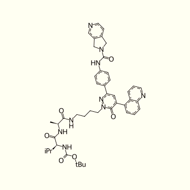 CC(C)[C@H](NC(=O)OC(C)(C)C)C(=O)N[C@@H](C)C(=O)NCCCCn1nc(-c2ccc(NC(=O)N3Cc4ccncc4C3)cc2)cc(-c2cccc3ncccc23)c1=O